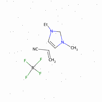 C=CC#N.CCN1C=CN(C)C1.F[B-](F)(F)F